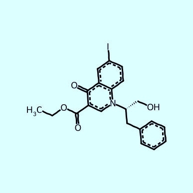 CCOC(=O)c1cn([C@H](CO)Cc2ccccc2)c2ccc(I)cc2c1=O